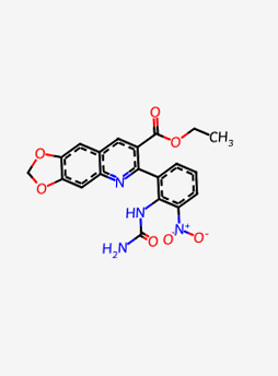 CCOC(=O)c1cc2cc3c(cc2nc1-c1cccc([N+](=O)[O-])c1NC(N)=O)OCO3